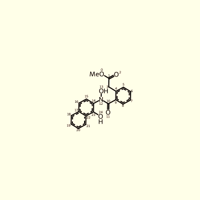 COC(=O)Cc1ccccc1C(=O)N(O)c1ccc2ccccc2c1O